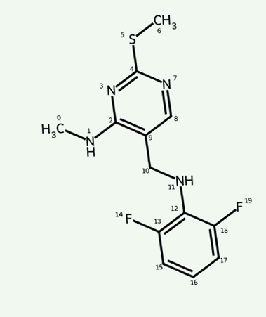 CNc1nc(SC)ncc1CNc1c(F)cccc1F